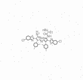 CCCCC(CC)C(=O)Nc1[nH]c(/N=C2\N=C(N)C(c3nc4cc(Cl)ccc4s3)=C2c2ccc(C)cc2C)c(-c2ccc(C)cc2C)c1-c1nc2cc(Cl)ccc2s1